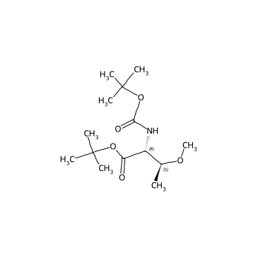 CO[C@@H](C)[C@@H](NC(=O)OC(C)(C)C)C(=O)OC(C)(C)C